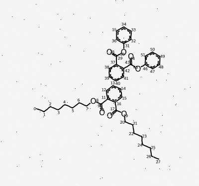 CCCCCCCCOC(=O)c1ccccc1C(=O)OCCCCCCCC.O=C(Oc1ccccc1)c1ccccc1C(=O)Oc1ccccc1